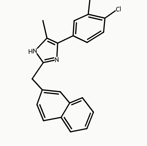 Cc1[nH]c(Cc2ccc3ccccc3c2)nc1-c1ccc(Cl)c(Cl)c1